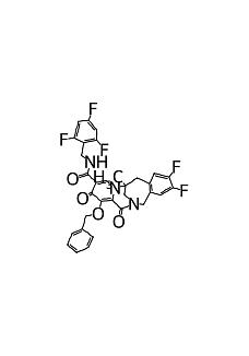 CC12Cc3cc(F)c(F)cc3CN(C1)C(=O)c1c(OCc3ccccc3)c(=O)c(C(=O)NCc3c(F)cc(F)cc3F)cn12